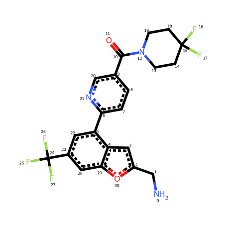 NCc1cc2c(-c3ccc(C(=O)N4CCC(F)(F)CC4)cn3)cc(C(F)(F)F)cc2o1